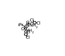 CC(C)CC1CN(C(=O)C(N)Cc2ccc(Cl)cc2Cl)CCN1C(=O)C(N)Cc1ccc(Cl)cc1Cl